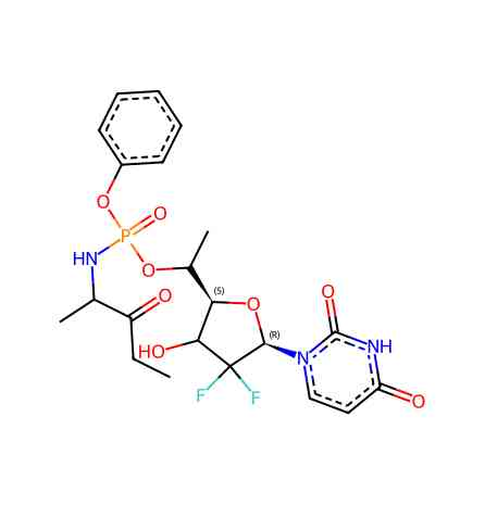 CCC(=O)C(C)NP(=O)(Oc1ccccc1)OC(C)[C@H]1O[C@@H](n2ccc(=O)[nH]c2=O)C(F)(F)C1O